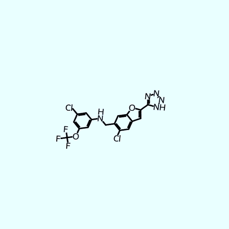 FC(F)(F)Oc1cc(Cl)cc(NCc2cc3oc(-c4nnn[nH]4)cc3cc2Cl)c1